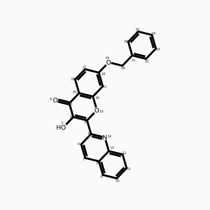 O=c1c(O)c(-c2ccc3ccccc3n2)oc2cc(OCc3ccccc3)ccc12